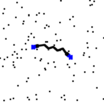 N#CC[CH]CCCC#N